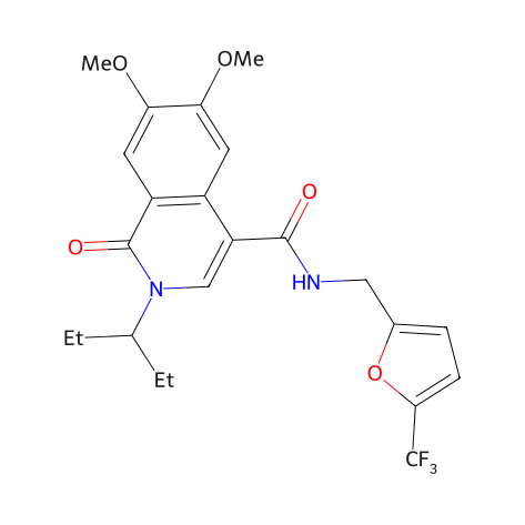 CCC(CC)n1cc(C(=O)NCc2ccc(C(F)(F)F)o2)c2cc(OC)c(OC)cc2c1=O